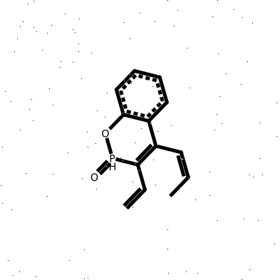 C=CC1=C(/C=C\C)c2ccccc2O[PH]1=O